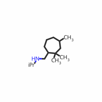 CC1CCCC(CNC(C)C)C(C)(C)C1